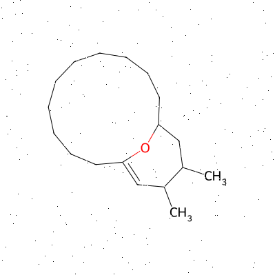 CC1C=C2CCCCCCCCCCC(CC1C)O2